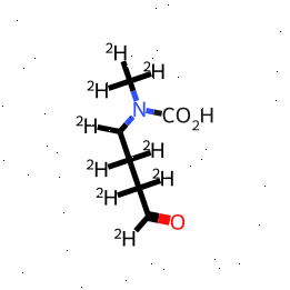 [2H]C(=O)C([2H])([2H])C([2H])([2H])C([2H])N(C(=O)O)C([2H])([2H])[2H]